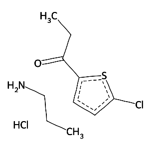 CCC(=O)c1ccc(Cl)s1.CCCN.Cl